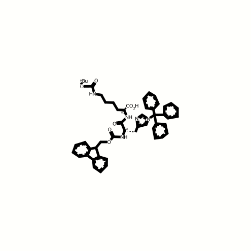 CC(C)(C)OC(=O)NCCCC[C@H](NC(=O)[C@H](Cc1cn(C(c2ccccc2)(c2ccccc2)c2ccccc2)cn1)NC(=O)OCC1c2ccccc2-c2ccccc21)C(=O)O